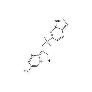 CC(C)(C)c1cnc2c(CC(C)(C)c3ccc4ccnn4c3)cnn2c1